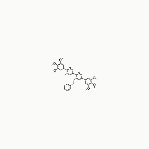 COc1cc(-c2cnc(-c3cnc(-c4cc(OC)c(OC)c(OC)c4)c(C)c3)c(C=Cc3ccccc3)c2)cc(OC)c1OC